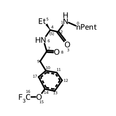 CCCCCNC(=O)[C@H](CC)NC(=O)Cc1cccc(OC(F)(F)F)c1